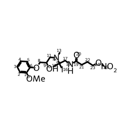 COc1ccccc1OCC(O)CN(C)C(C)(I)CNC(=O)CCCO[N+](=O)[O-]